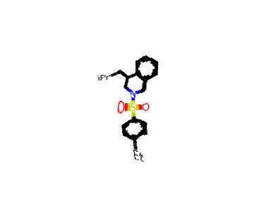 CCc1ccc(S(=O)(=O)N2Cc3ccccc3C(CC(C)C)C2)cc1